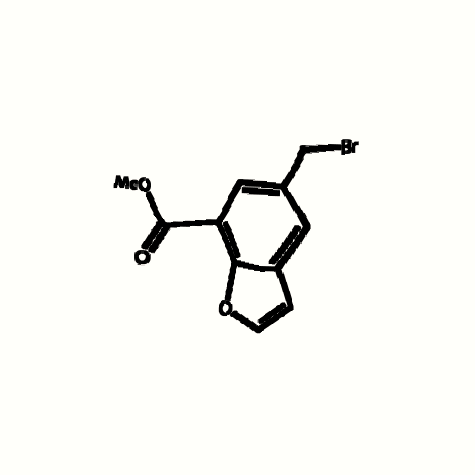 COC(=O)c1cc(CBr)cc2ccoc12